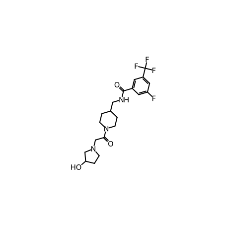 O=C(NCC1CCN(C(=O)CN2CCC(O)C2)CC1)c1cc(F)cc(C(F)(F)F)c1